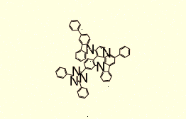 c1ccc(-c2ccc3c(c2)c2ccccc2n3-c2ccncc2-c2ccc(-c3nc(-c4ccccc4)nc(-c4ccccc4)n3)cc2-n2c3ccccc3c3cc(-c4ccccc4)ccc32)cc1